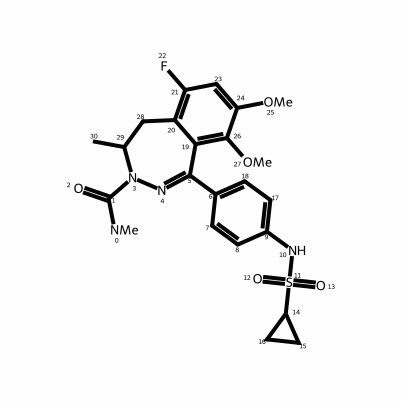 CNC(=O)N1N=C(c2ccc(NS(=O)(=O)C3CC3)cc2)c2c(c(F)cc(OC)c2OC)CC1C